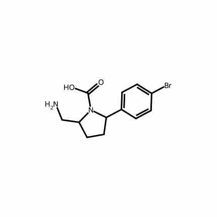 NCC1CCC(c2ccc(Br)cc2)N1C(=O)O